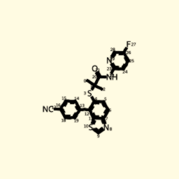 CC(C)(Sc1ccc2ncsc2c1-c1ccc(C#N)cc1)C(=O)Nc1ccc(F)cn1